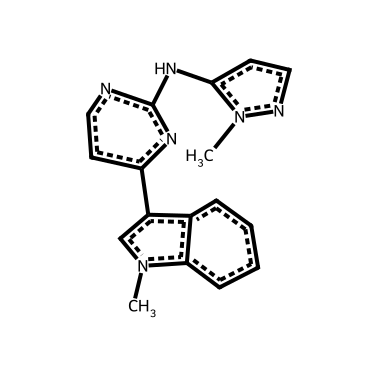 Cn1nccc1Nc1nccc(-c2cn(C)c3ccccc23)n1